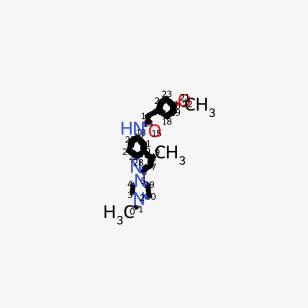 CCN1CCN(c2cc(C)c3cc(NC(=O)Cc4ccc(OC)cc4)ccc3n2)CC1